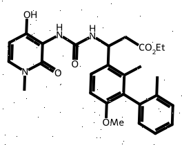 CCOC(=O)CC(NC(=O)Nc1c(O)ccn(C)c1=O)c1ccc(OC)c(-c2ccccc2C)c1C